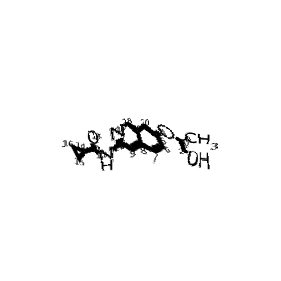 C[C@H](CO)Oc1ccc2cc(NC(=O)C3CC3)ncc2c1